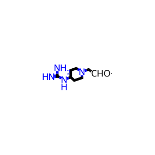 N=C(N)NC1CCN(C[C]=O)CC1